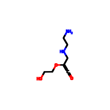 NCCNCC(=C=O)OCCO